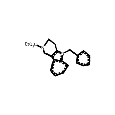 CCOC(=O)N1CCc2c(c3ccccc3n2Cc2ccccc2)C1